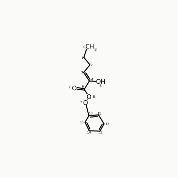 CCCC=C(O)C(=O)OOc1ccccc1